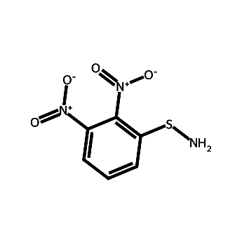 NSc1cccc([N+](=O)[O-])c1[N+](=O)[O-]